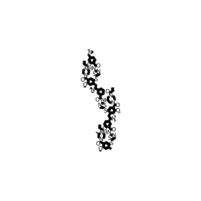 C=CC(=O)N1CCCN(C(=O)c2cc(Sc3cnc(NC(=O)c4cccc(C(Cc5cc(OC)c(C(=O)N6CCN(C(=O)C=C)CC6)cc5Sc5cnc(NC(=O)c6ccc(CN(C)C)cc6)s5)N(C)C)c4)s3)c(CC(c3cccc(C(=O)Nc4ncc(Sc5cc(C(=O)N6CCN(C(=O)C=C)[C@H](C)C6)c(OC)cc5C)s4)c3)N(C)C)cc2OC)CC1